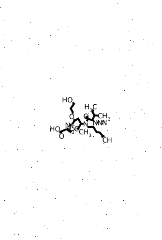 C#CCCCCN(C(=O)C(N=[N+]=[N-])C(C)CC)C(CC(OCCCO)c1nc(C(=O)O)cs1)C(C)C